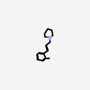 Cc1ccccc1C=CCN1CCCCC1